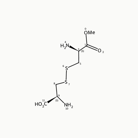 COC(=O)[C@H](N)CSSC[C@@H](N)C(=O)O